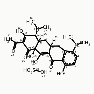 CN(C)c1ccc(O)c2c1C[C@H]1C[C@H]3[C@H](N(C)C)C(O)=C(C(N)=O)C(=O)[C@@]3(O)C(O)=C1C2=O.O=S(=O)(O)O